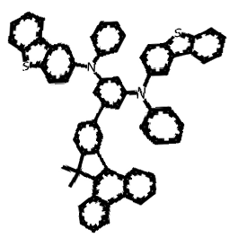 CC1(C)c2ccc(-c3cc(N(c4ccccc4)c4ccc5sc6ccccc6c5c4)cc(N(c4ccccc4)c4ccc5sc6ccccc6c5c4)c3)cc2-c2c1c1ccccc1c1ccccc21